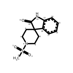 CS(=O)(=O)N1CCC2(CC1)C(=O)Nc1ccccc12